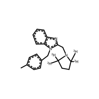 [2H]C1([2H])CCC([2H])([2H])N1Cc1nc2ccccc2n1Cc1ccc(C)cc1